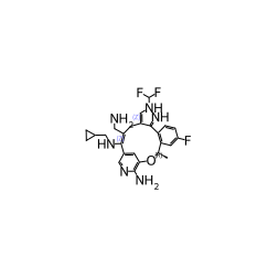 C[C@H]1Oc2cc(cnc2N)/C(NCC2CC2)=C(/CN)C/C(=C/NC(F)F)C(=N)c2ccc(F)cc21